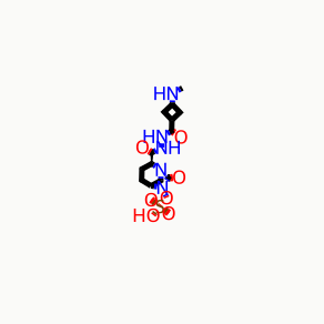 CNC1CC(C(=O)NNC(=O)[C@@H]2CCC3CN2C(=O)N3OS(=O)(=O)O)C1